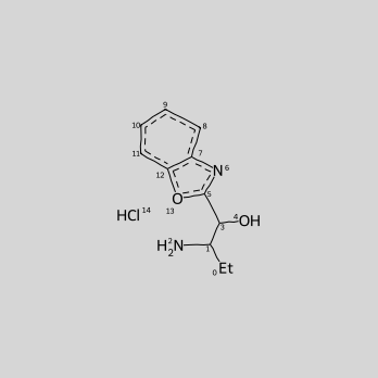 CCC(N)C(O)c1nc2ccccc2o1.Cl